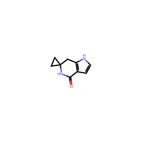 O=C1NC2(CC2)Cc2[nH]ccc21